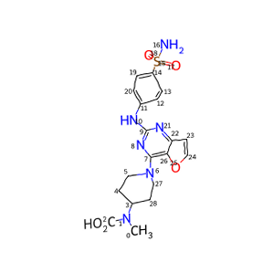 CN(C(=O)O)C1CCN(c2nc(Nc3ccc(S(N)(=O)=O)cc3)nc3ccoc23)CC1